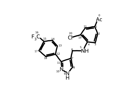 CC(=O)c1ccc(NCc2c[nH]nc2-c2ccc(C(F)(F)F)cc2)c(Cl)c1